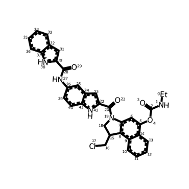 CCNC(=O)Oc1cc2c(c3ccccc13)C(CCl)CN2C(=O)c1cc2cc(NC(=O)c3cc4ccccc4[nH]3)ccc2[nH]1